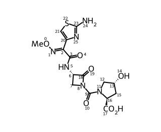 CON=C(C(=O)N[C@H]1CN(C(=O)N2C[C@H](O)C[C@H]2C(=O)O)C1=O)c1csc(N)n1